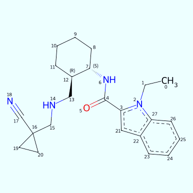 CCn1c(C(=O)N[C@H]2CCCC[C@@H]2CNCC2(C#N)CC2)cc2ccccc21